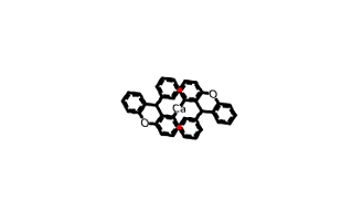 c1ccc(C2c3ccccc3Oc3ccc[c]([Ca][c]4cccc5c4C(c4ccccc4)c4ccccc4O5)c32)cc1